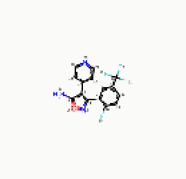 Nc1onc(-c2cc(C(F)(F)F)ccc2F)c1-c1ccncc1